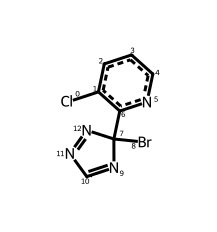 Clc1cccnc1C1(Br)N=[C]N=N1